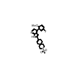 COc1ccc(F)cc1-c1ccnc2[nH]c(C3=CCC4(CC3)CCN(S(C)(=O)=O)CC4)cc12